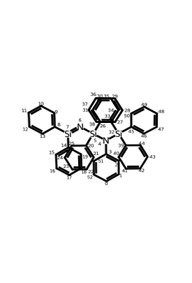 c1ccc(N([Si](N=[Si](c2ccccc2)c2ccccc2)(c2ccccc2)c2ccccc2)[Si](c2ccccc2)(c2ccccc2)c2ccccc2)cc1